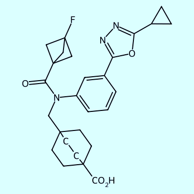 O=C(O)C12CCC(CN(C(=O)C34CC(F)(C3)C4)c3cccc(-c4nnc(C5CC5)o4)c3)(CC1)CC2